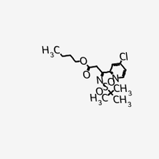 CCCCOC(=O)CC(=NS(=O)(=O)C(C)(C)C)c1cc(Cl)ccn1